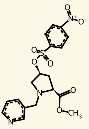 COC(=O)[C@@H]1C[C@H](OS(=O)(=O)c2ccc([N+](=O)[O-])cc2)CN1Cc1cccnc1